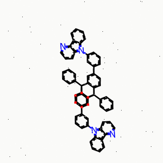 c1ccc(C23c4ccccc4C(c4ccccc4)(c4ccc(-c5cccc(-n6c7ccccc7c7ncccc76)c5)cc42)c2cc(-c4cccc(-n5c6ccccc6c6ncccc65)c4)ccc23)cc1